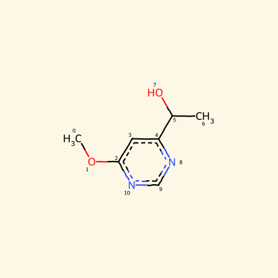 COc1cc(C(C)O)ncn1